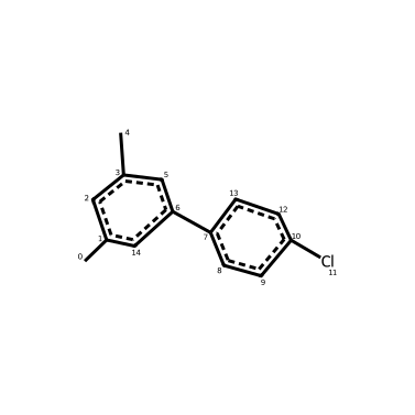 Cc1[c]c(C)cc(-c2ccc(Cl)cc2)c1